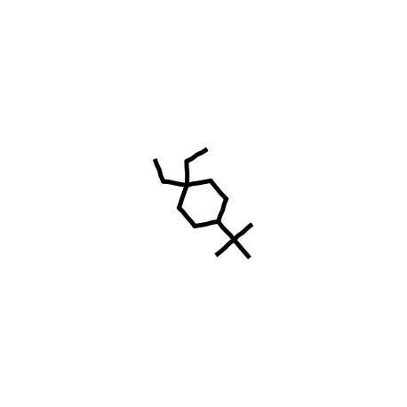 CCC1(CC)CCC(C(C)(C)C)CC1